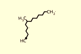 C#CCC[CH]CC(C)CCCCCC[CH2]